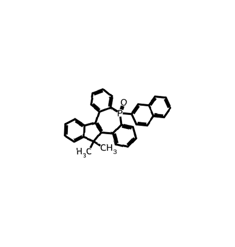 CC1(C)C2=C(c3ccccc31)c1ccccc1P(=O)(c1ccc3ccccc3c1)c1ccccc12